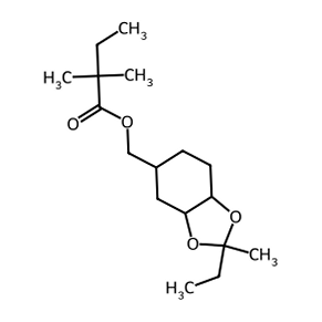 CCC1(C)OC2CCC(COC(=O)C(C)(C)CC)CC2O1